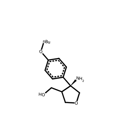 CCCCOc1ccc([C@]2(N)COCC2CO)cc1